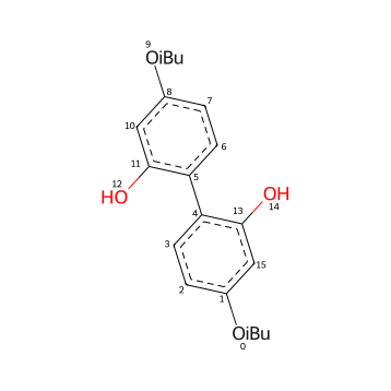 CC(C)COc1ccc(-c2ccc(OCC(C)C)cc2O)c(O)c1